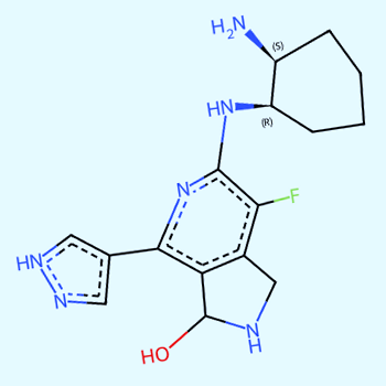 N[C@H]1CCCC[C@H]1Nc1nc(-c2cn[nH]c2)c2c(c1F)CNC2O